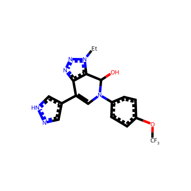 CCn1nnc2c1C(O)N(c1ccc(OC(F)(F)F)cc1)C=C2c1cn[nH]c1